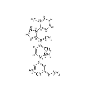 C=C/C(=C\C(Cl)=C/N)N(N)/C=C\C(=C)C(=C)c1ccnn1-c1ccccc1F